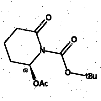 CC(=O)O[C@H]1CCCC(=O)N1C(=O)OC(C)(C)C